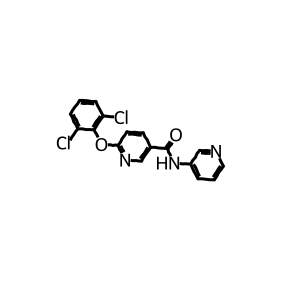 O=C(Nc1cccnc1)c1ccc(Oc2c(Cl)cccc2Cl)nc1